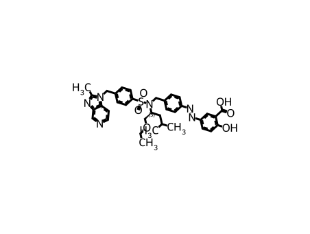 CCOC[C@H](CC(C)C)N(Cc1ccc(N=Nc2ccc(O)c(C(=O)O)c2)cc1)S(=O)(=O)c1ccc(Cn2c(C)nc3cnccc32)cc1